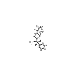 C=C(c1ccc(C(F)(C(F)F)C(F)(F)F)cc1)S(=O)(=O)c1ccccc1